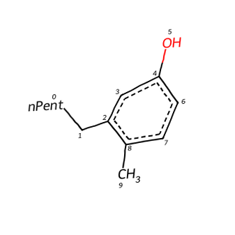 CCCCCCc1cc(O)ccc1C